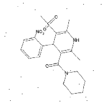 CC1=C(C(=O)N2CCCCC2)C(c2ccccc2[N+](=O)[O-])C(S(C)(=O)=O)=C(C)N1